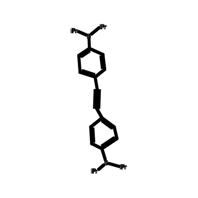 CC(C)B(c1ccc(C#Cc2ccc(B(C(C)C)C(C)C)cc2)cc1)C(C)C